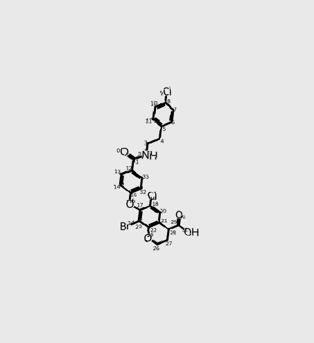 O=C(NCCc1ccc(Cl)cc1)c1ccc(Oc2c(Cl)cc3c(c2Br)OCCC3C(=O)O)cc1